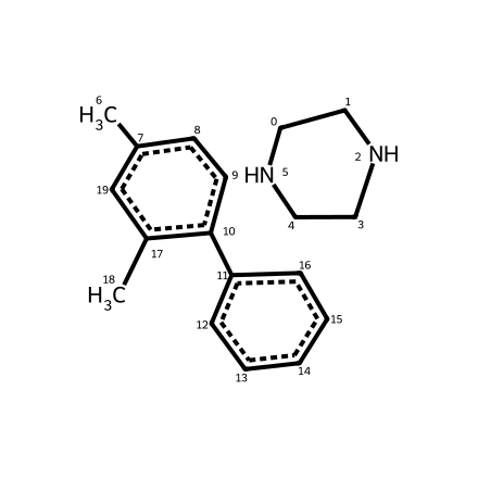 C1CNCCN1.Cc1ccc(-c2ccccc2)c(C)c1